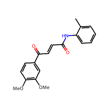 COc1ccc(C(=O)C=CC(=O)Nc2ccccc2C)cc1OC